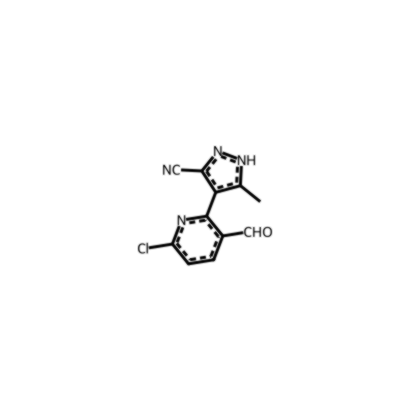 Cc1[nH]nc(C#N)c1-c1nc(Cl)ccc1C=O